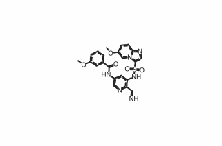 COc1cccc(C(=O)Nc2cnc(C=N)c(NS(=O)(=O)c3cnc4ccc(OC)cn34)c2)c1